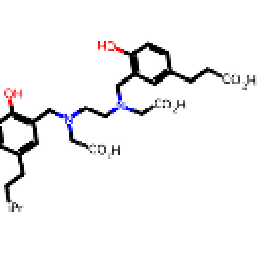 CC(C)CCc1ccc(O)c(CN(CCN(CC(=O)O)Cc2cc(CCC(=O)O)ccc2O)CC(=O)O)c1